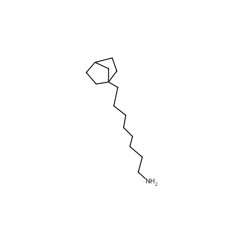 NCCCCCCCCC12CCC(CC1)C2